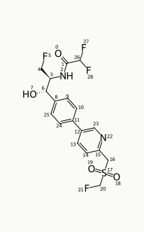 O=C(N[C@H](CF)[C@@H](O)c1ccc(-c2ccc(CS(=O)(=O)CF)nc2)cc1)C(F)F